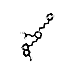 COc1ccc2nccc(CCCC3CCN(CCCCc4cnccn4)CC3CCC(=O)O)c2c1